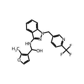 Cc1occc1C(O)Nc1nn(Cc2ccc(C(F)(F)F)nc2)c2ccccc12